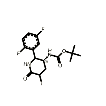 CC(C)(C)OC(=O)N[C@H]1CC(I)C(=O)NC1c1cc(F)ccc1F